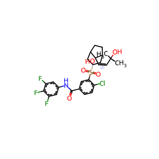 CC(C)(O)/C=C\[C@]1(O)C2CCC1C[C@@H](S(=O)(=O)c1cc(C(=O)Nc3cc(F)c(F)c(F)c3)ccc1Cl)C2